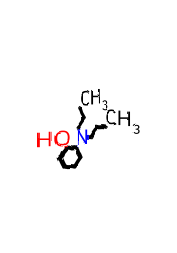 CCCCN(CCCC)C1CCCCC1O